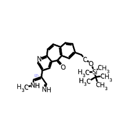 CN/C=C(\C=N)c1cnc2ccc3ccc(CCO[Si](C)(C)C(C)(C)C)cc3c(=O)c2c1